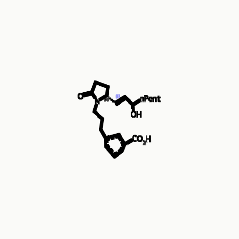 CCCCCC(O)/C=C/[C@H]1CCC(=O)N1CCCc1cccc(C(=O)O)c1